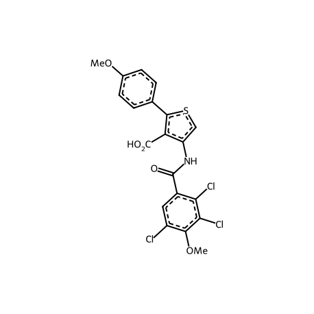 COc1ccc(-c2scc(NC(=O)c3cc(Cl)c(OC)c(Cl)c3Cl)c2C(=O)O)cc1